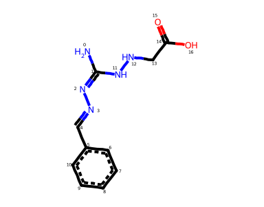 NC(=NN=Cc1ccccc1)NNCC(=O)O